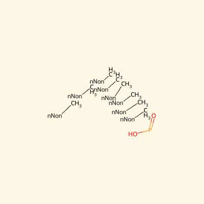 CCCCCCCCCC.CCCCCCCCCC.CCCCCCCCCC.CCCCCCCCCC.CCCCCCCCCC.CCCCCCCCCC.CCCCCCCCCC.CCCCCCCCCC.O=PO